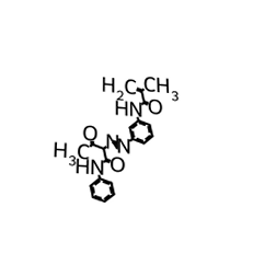 C=C(C)C(=O)Nc1cccc(N=NC(C(C)=O)C(=O)Nc2ccccc2)c1